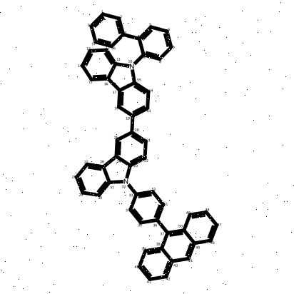 c1ccc(-c2ccccc2-n2c3ccccc3c3cc(-c4ccc5c(c4)c4ccccc4n5-c4ccc(-c5c6ccccc6cc6ccccc56)cc4)ccc32)cc1